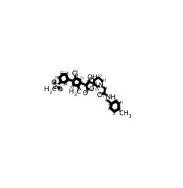 Cc1ccc(CNC(=O)CN2CCCC3(C2)OC(=O)C(c2cc(Cl)c(-c4cccc(S(C)(=O)=O)c4)cc2C)=C3O)cc1